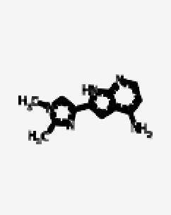 Cc1nc(-c2cc3c(N)ccnc3[nH]2)cn1C